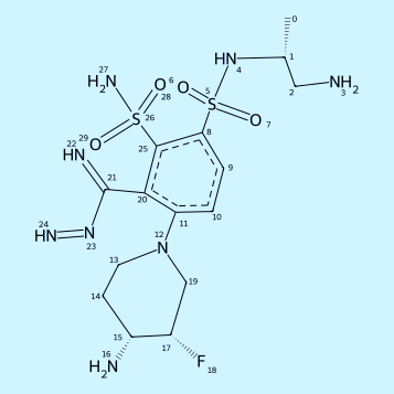 C[C@H](CN)NS(=O)(=O)c1ccc(N2CC[C@@H](N)[C@@H](F)C2)c(C(=N)N=N)c1S(N)(=O)=O